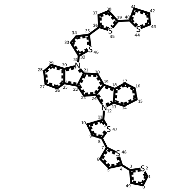 c1csc(-c2ccc(-c3ccc(-n4c5ccccc5c5cc6c(cc54)c4ccccc4n6-c4ccc(-c5ccc(-c6cccs6)s5)s4)s3)s2)c1